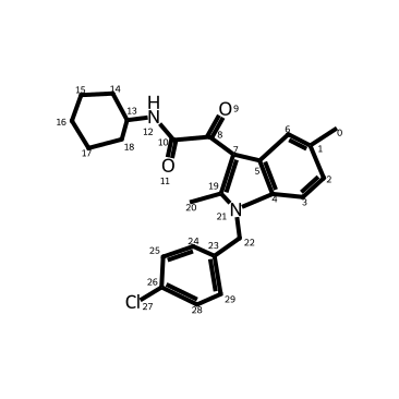 Cc1ccc2c(c1)c(C(=O)C(=O)NC1CCCCC1)c(C)n2Cc1ccc(Cl)cc1